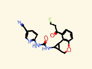 N#Cc1ccc(NC(=O)NC2C3COc4cccc(C(=O)CCF)c4C32)nc1